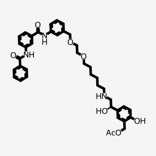 CC(=O)OCc1cc([C@@H](O)CNCCCCCCOCCOCc2cccc(NC(=O)c3cccc(NC(=O)c4ccccc4)c3)c2)ccc1O